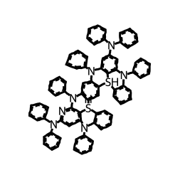 c1ccc(N(c2ccccc2)c2cc3c4c(c2)N(c2ccccc2)c2cc5c(cc2[SH]4c2ccccc2N3c2ccccc2)[SH]2c3ccccc3N(c3ccccc3)c3cc(N(c4ccccc4)c4ccccc4)nc(c32)N5c2ccccc2)cc1